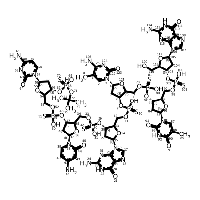 Cc1cn([C@H]2C[C@H](OP(O)(=S)OCC3O[C@@H](n4cnc5c(=O)[nH]c(N)nc54)C[C@@H]3OP(O)(=S)OCC3O[C@@H](n4ccc(N)cc4=O)C[C@@H]3OP(O)(=S)OCC3O[C@@H](n4ccc(N)nc4=O)C[C@@H]3OP(O)(=S)OC(C)(C)C)C(COP(O)(=S)O[C@H]3C[C@H](n4cc(C)c(=O)[nH]c4=O)OC3COP(O)(=S)O[C@H]3C[C@H](n4cnc5c(=O)[nH]c(N)nc54)OC3CO)O2)c(=O)nc1N